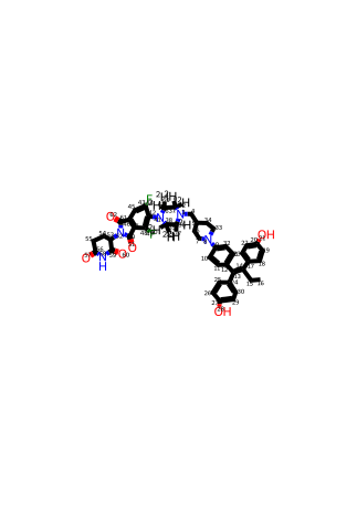 [2H]C1([2H])N(CC2CCN(c3ccc(C(=C(CC)c4ccc(O)cc4)c4ccc(O)cc4)cc3)CC2)C([2H])([2H])C([2H])([2H])N(c2c(F)cc3c(c2F)C(=O)N(C2CCC(=O)NC2=O)C3=O)C1([2H])[2H]